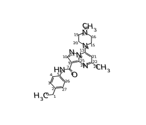 CCc1ccc(NC(=O)c2cnn3c(N4CCN(C)CC4)cc(C)nc23)cc1